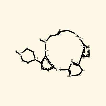 CN1CCN(c2ccc3cc2CN(C)C/C=C/COCc2cc(co2)C2=NC(=NCC2)N3)CC1